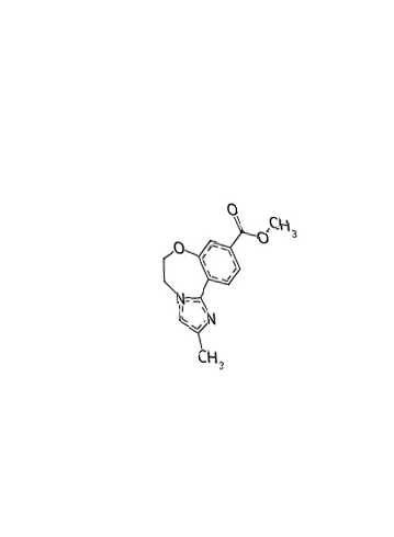 COC(=O)c1ccc2c(c1)OCCn1cc(C)nc1-2